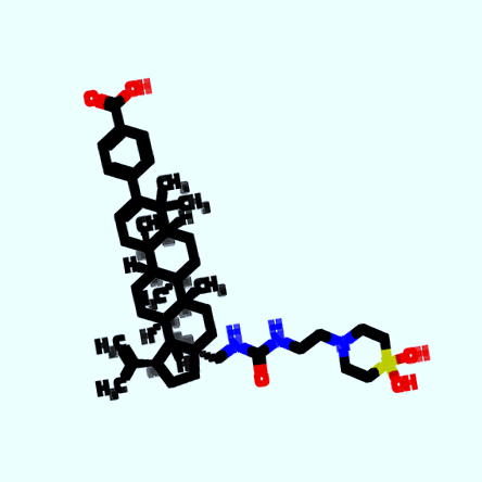 C=C(C)[C@@H]1CC[C@]2(CNC(=O)NCCN3CCS(O)(O)CC3)CC[C@]3(C)[C@H](CC[C@@H]4[C@@]5(C)CC=C(c6ccc(C(=O)O)cc6)C(C)(C)[C@@H]5CC[C@]43C)[C@@H]12